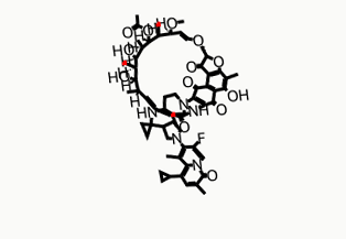 CO[C@H]1/C=C/O[C@@]2(C)Oc3c(C)c(O)c4c(c3C2=O)C(=O)C(N2CCC(NC3(C5CCN(c6c(F)cn7c(=O)c(C)cc(C8CC8)c7c6C)C5)CC3)CC2)=C(NC(=O)/C(C)=C\C=C\[C@H](C)[C@H](O)[C@@H](C)[C@@H](O)[C@@H](C)[C@H](OC(C)=O)[C@@H]1C)C4=O